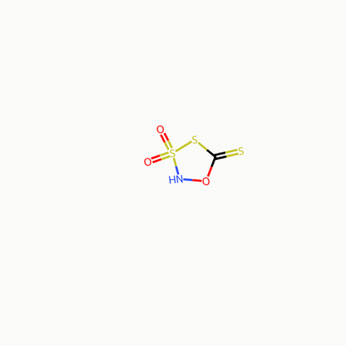 O=S1(=O)NOC(=S)S1